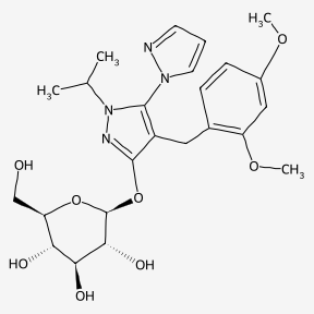 COc1ccc(Cc2c(O[C@@H]3O[C@H](CO)[C@@H](O)[C@H](O)[C@H]3O)nn(C(C)C)c2-n2cccn2)c(OC)c1